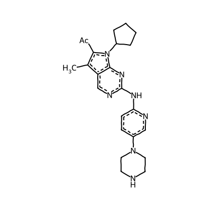 CC(=O)c1c(C)c2cnc(Nc3ccc(N4CCNCC4)cn3)nc2n1C1CCCC1